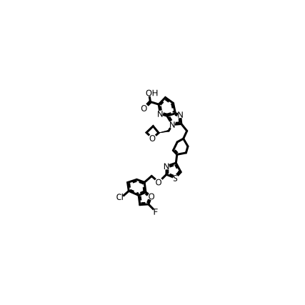 O=C(O)c1ccc2nc(CC3CC=C(c4csc(OCc5ccc(Cl)c6cc(F)oc56)n4)CC3)n(C[C@@H]3CCO3)c2n1